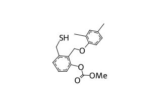 COC(=O)Oc1cccc(CS)c1COc1ccc(C)cc1C